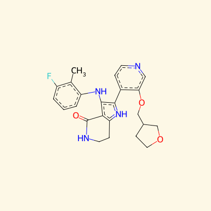 Cc1c(F)cccc1Nc1c(-c2ccncc2OCC2CCOC2)[nH]c2c1C(=O)NCC2